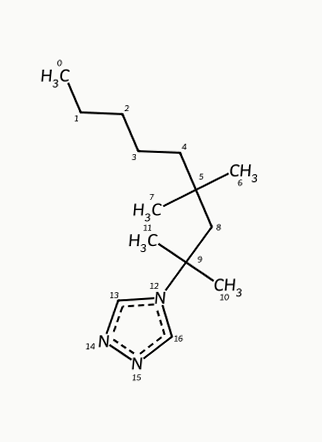 CCCCCC(C)(C)CC(C)(C)n1cnnc1